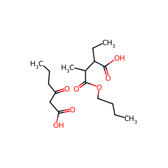 CCCC(=O)CC(=O)O.CCCCOC(=O)C(C)C(CC)C(=O)O